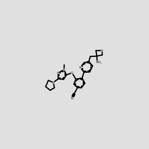 Cn1nc(N2CCCC2)cc1Oc1cc(C#N)ccc1-c1ccc(CC2(N)COC2)cn1